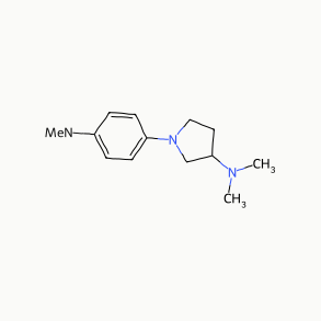 CNc1ccc(N2CCC(N(C)C)C2)cc1